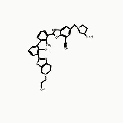 C#Cc1cc(CN2CCC(C(=O)O)C2)cc2c1OC(c1cccc(-c3cccc(-c4nc5c(s4)CN(CCO)CC5)c3C)c1C)N2